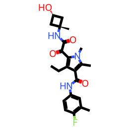 CCc1c(C(=O)Nc2ccc(F)c(C)c2)c(C)n(C)c1C(=O)C(=O)N[C@]1(C)C[C@H](O)C1